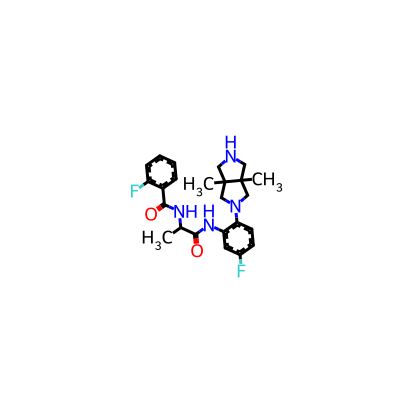 CC(NC(=O)c1ccccc1F)C(=O)Nc1cc(F)ccc1N1CC2(C)CNCC2(C)C1